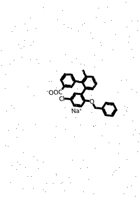 Cc1cccc(-c2cc(Cl)ccc2OCc2ccccc2)c1-c1cccc(C(=O)[O-])c1.[Na+]